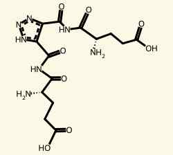 N[C@@H](CCC(=O)O)C(=O)NC(=O)c1nn[nH]c1C(=O)NC(=O)[C@@H](N)CCC(=O)O